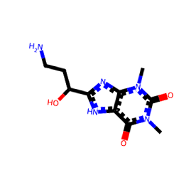 Cn1c(=O)c2[nH]c(C(O)CCN)nc2n(C)c1=O